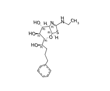 CCNC1=N[C@@H]2[C@@H](O)[C@H](O)[C@@H]([C@H](O)CCCc3ccccc3)O[C@@H]2S1